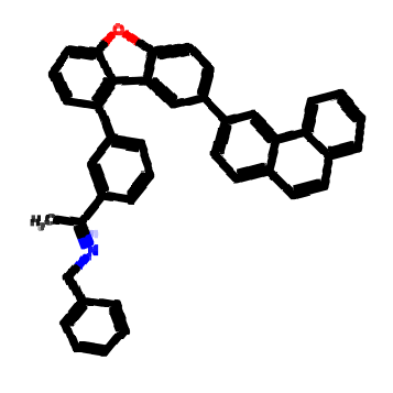 C/C(=N\Cc1ccccc1)c1cccc(-c2cccc3oc4ccc(-c5ccc6ccc7ccccc7c6c5)cc4c23)c1